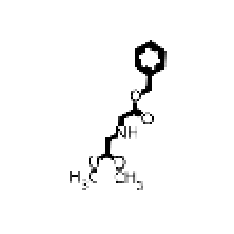 COC(CNCC(=O)OCc1ccccc1)OC